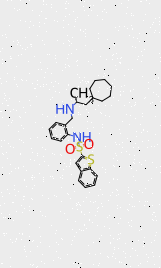 C[C@@H](CC1CCCCCC1)NCc1ccccc1NS(=O)(=O)c1cc2ccccc2s1